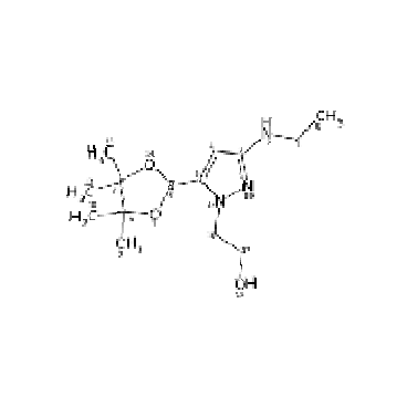 CCNc1cc(B2OC(C)(C)C(C)(C)O2)n(CCO)n1